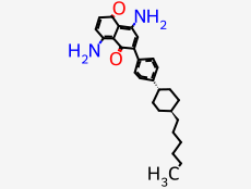 CCCCCC[C@H]1CC[C@H](c2ccc(C3=CC(N)=C4C(=O)C=CC(N)=C4C3=O)cc2)CC1